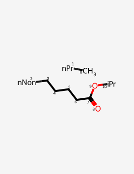 CCCC.CCCCCCCCCCCCCC(=O)OC(C)C